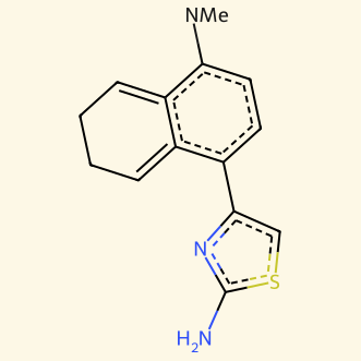 CNc1ccc(-c2csc(N)n2)c2c1=CCCC=2